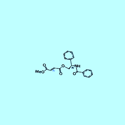 COC(=O)/C=C/C(=O)OC[C@H](NC(=O)c1ccccc1)c1ccccc1